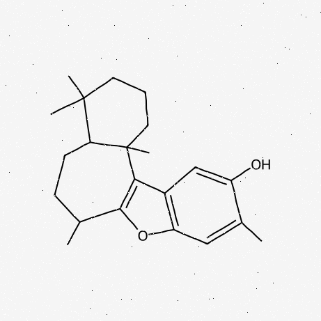 Cc1cc2oc3c(c2cc1O)C1(C)CCCC(C)(C)C1CCC3C